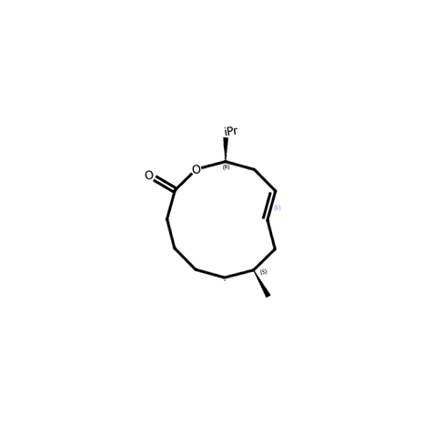 CC(C)[C@H]1C/C=C/C[C@@H](C)[CH]CCCC(=O)O1